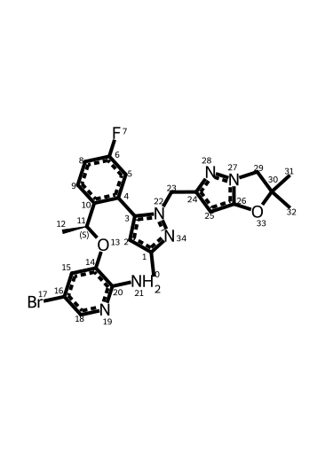 Cc1cc(-c2cc(F)ccc2[C@H](C)Oc2cc(Br)cnc2N)n(Cc2cc3n(n2)CC(C)(C)O3)n1